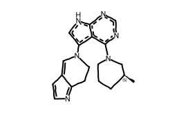 C[C@H]1CCCN(c2ncnc3[nH]cc(N4C=C5C=CN=C5CC4)c23)C1